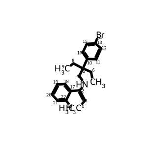 C/C=C(/NCC(CC)(CC)c1ccc(Br)cc1)c1ccccc1C